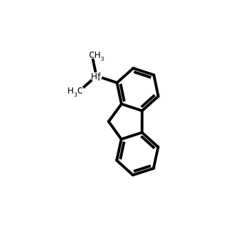 [CH3][Hf]([CH3])[c]1cccc2c1Cc1ccccc1-2